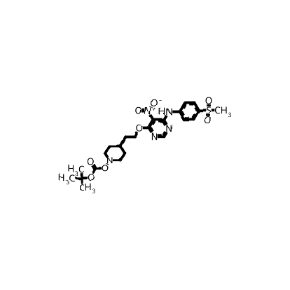 CC(C)(C)OC(=O)ON1CCC(CCOc2ncnc(Nc3ccc(S(C)(=O)=O)cc3)c2[N+](=O)[O-])CC1